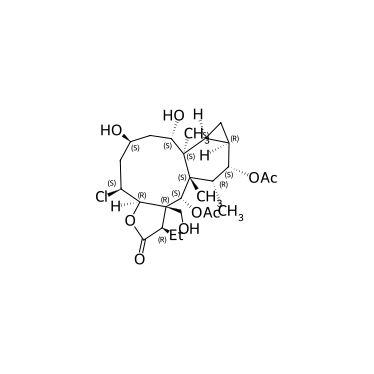 CC[C@H]1C(=O)O[C@H]2[C@@H](Cl)C[C@@H](O)C[C@H](O)[C@@]3(C)[C@H]4C[C@H]4[C@H](OC(C)=O)[C@H](C)[C@]3(C)[C@H](OC(C)=O)[C@]12CO